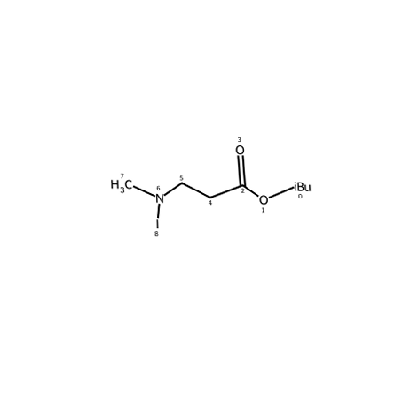 CCC(C)OC(=O)CCN(C)I